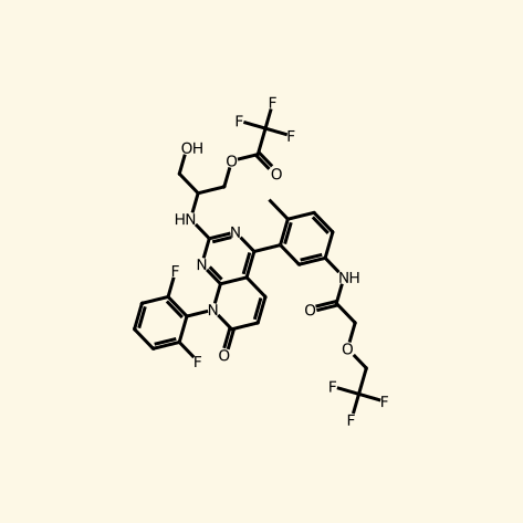 Cc1ccc(NC(=O)COCC(F)(F)F)cc1-c1nc(NC(CO)COC(=O)C(F)(F)F)nc2c1ccc(=O)n2-c1c(F)cccc1F